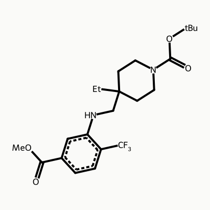 CCC1(CNc2cc(C(=O)OC)ccc2C(F)(F)F)CCN(C(=O)OC(C)(C)C)CC1